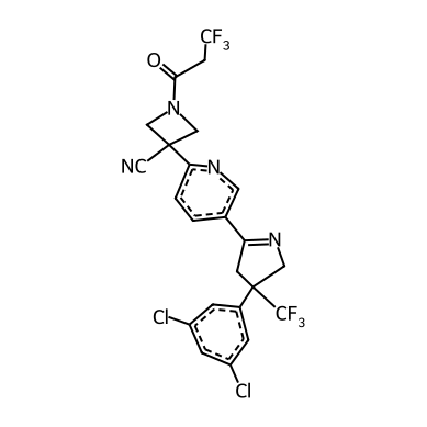 N#CC1(c2ccc(C3=NCC(c4cc(Cl)cc(Cl)c4)(C(F)(F)F)C3)cn2)CN(C(=O)CC(F)(F)F)C1